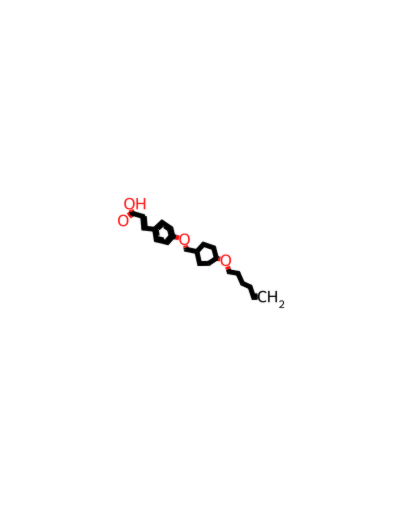 C=CCCCCOC1CCC(COc2ccc(/C=C/C(=O)O)cc2)CC1